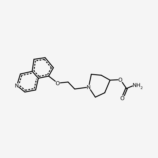 NC(=O)OC1CCN(CCOc2cccc3cnccc23)CC1